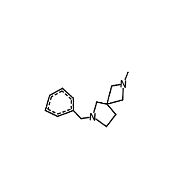 CN1CC2(CCN(Cc3ccccc3)C2)C1